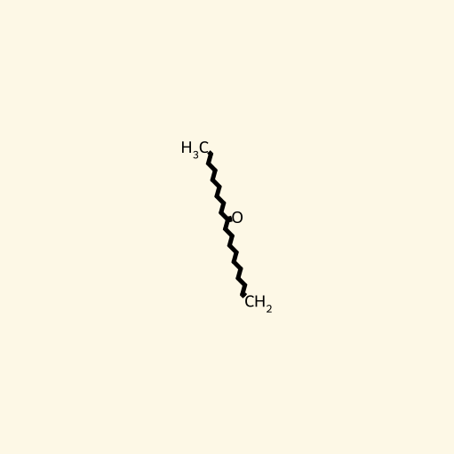 C=CCCCCCCCCC(=O)CCCCCCCCC